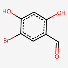 O=Cc1cc(Br)c(O)cc1O